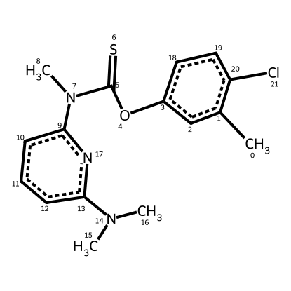 Cc1cc(OC(=S)N(C)c2cccc(N(C)C)n2)ccc1Cl